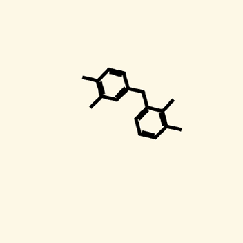 Cc1ccc(Cc2cccc(C)c2C)cc1C